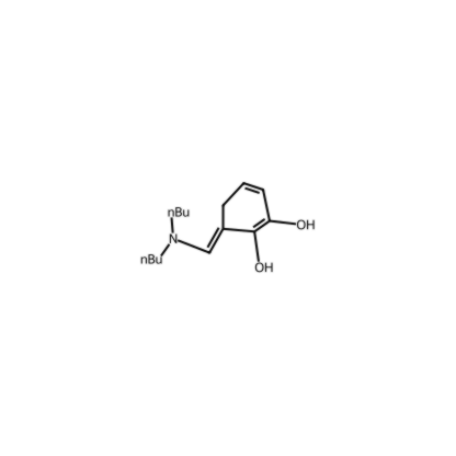 CCCCN(C=C1CC=CC(O)=C1O)CCCC